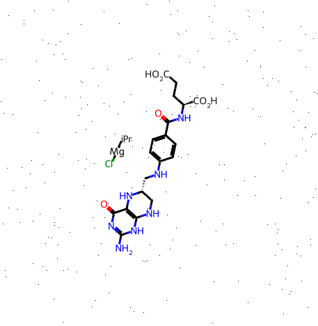 C[CH](C)[Mg][Cl].Nc1nc(=O)c2c([nH]1)NC[C@@H](CNc1ccc(C(=O)N[C@@H](CCC(=O)O)C(=O)O)cc1)N2